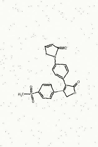 CS(=O)(=O)c1ccc(C2=C(c3ccc(N4CC=CC4=O)cc3)C(=O)OC2)cc1